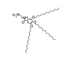 CCCCCCCCCCCCOc1cc(C(=O)NCCN)cc(OCCCCCCCCCCCC)c1OCCCCCCCCCCCC